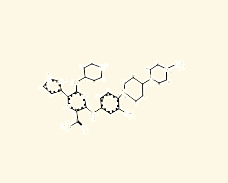 Cc1cc(Nc2nc(NC3CCOCC3)c(-c3ccon3)nc2C(N)=O)ccc1N1CCC(N2CCN(C)CC2)CC1